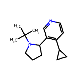 CC(C)(C)N1CCCC1c1cnccc1C1CC1